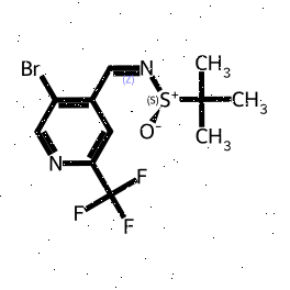 CC(C)(C)[S@@+]([O-])/N=C\c1cc(C(F)(F)F)ncc1Br